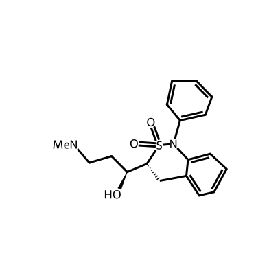 CNCC[C@H](O)[C@H]1Cc2ccccc2N(c2ccccc2)S1(=O)=O